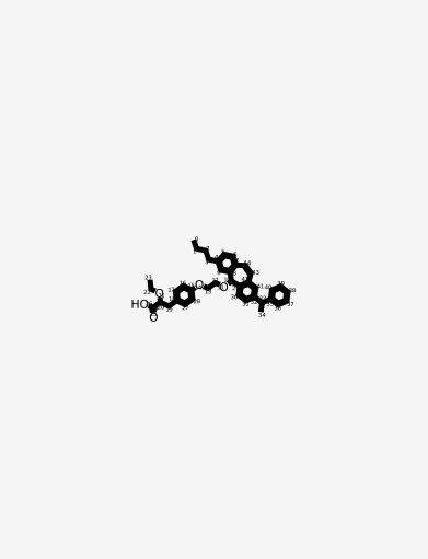 CCCCc1ccc2c(c1)C(OCCOc1ccc(CC(OCC)C(=O)O)cc1)c1ccc(C(C)c3ccccc3)cc1C=C2